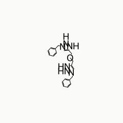 C1=C(COCC2=CN(Cc3ccccc3)NN2)NNN1Cc1ccccc1